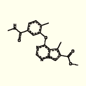 CNC(=O)c1ccc(C)c(Oc2ncnn3cc(C(=O)OC)c(C)c23)c1